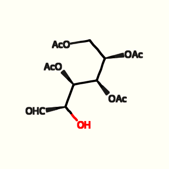 CC(=O)OC[C@@H](OC(C)=O)[C@@H](OC(C)=O)[C@H](OC(C)=O)[C@@H](O)C=O